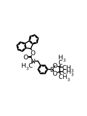 CN(Cc1cccc(B2OC(C)(C)C(C)(C)O2)c1)C(=O)OC1c2ccccc2-c2ccccc21